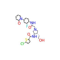 O=C(CN1C[C@H](CCO)[C@@H](NC(=O)c2ccc(Cl)s2)C1)Nc1ccc(-n2ccccc2=O)cc1F